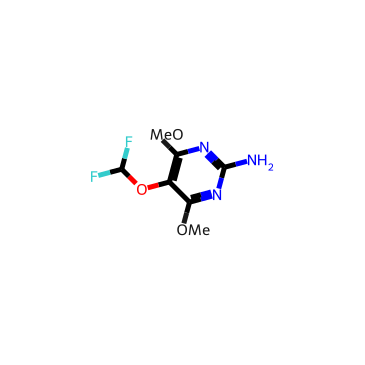 COc1nc(N)nc(OC)c1OC(F)F